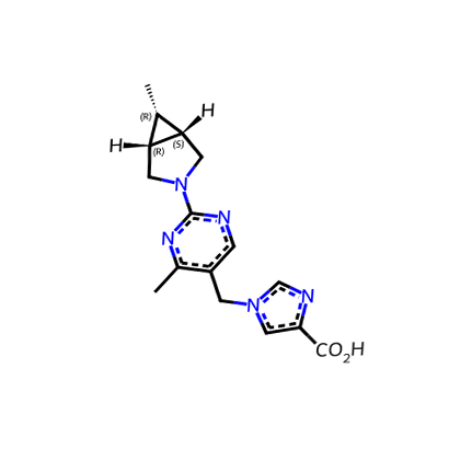 Cc1nc(N2C[C@@H]3[C@H](C)[C@@H]3C2)ncc1Cn1cnc(C(=O)O)c1